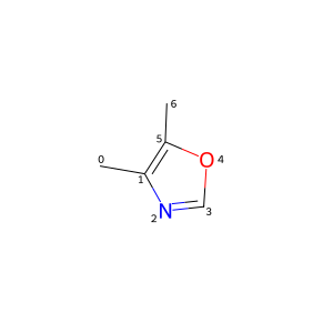 Cc1ncoc1C